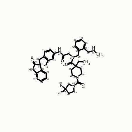 CCC1(C(=O)N(CC(=O)Nc2ccc3c(c2)C[C@@]2(C3)C(=O)Nc3ncccc32)Cc2ccccc2CNC)CCN(C(=O)N2CCC(F)(F)C2)CC1